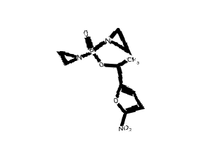 O=[N+]([O-])c1ccc(C(OP(=O)(N2CC2)N2CC2)C(F)(F)F)o1